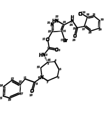 O=C(N[C@@H]1CCCCN(C(=O)Cc2ccccc2)C1)Oc1n[nH]c(NC(=O)c2ccccc2Cl)c1Br